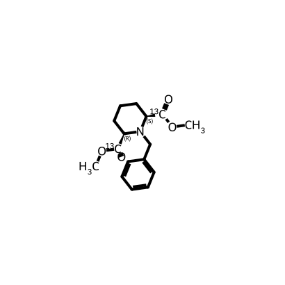 CO[13C](=O)[C@H]1CCC[C@@H]([13C](=O)OC)N1Cc1ccccc1